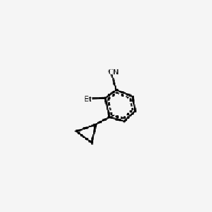 CCc1c(C#N)cccc1C1CC1